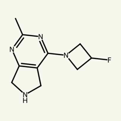 Cc1nc2c(c(N3CC(F)C3)n1)CNC2